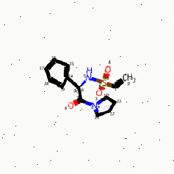 C=CS(=O)(=O)N[C@@H](C(=O)N1CCCC1)c1ccccc1